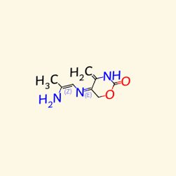 C=C1NC(=O)OC/C1=N/C=C(/C)N